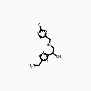 CC(CNCc1cnc(Cl)s1)c1nc(CN)cs1